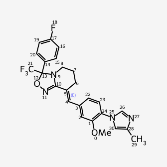 COc1cc(/C=C2\CCCN3C2=NOC3(c2ccc(F)cc2)C(F)(F)F)ccc1-n1cnc(C)c1